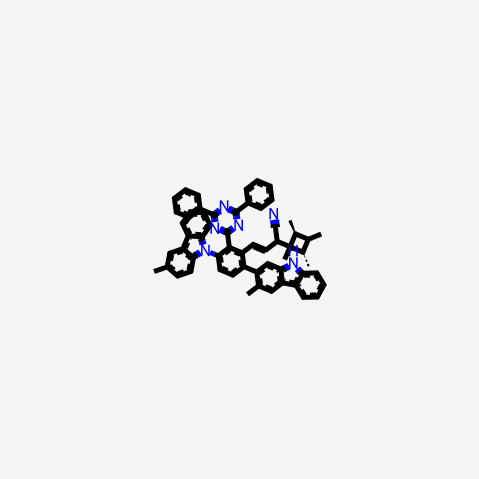 Cc1ccc2c(c1)c1ccccc1n2-c1ccc(-c2cc3[nH]c4ccccc4c3cc2C)c(C=CC(C#N)C2(C)[C@@H](C)C(C)[C@@H]2C)c1-c1nc(-c2ccccc2)nc(-c2ccccc2)n1